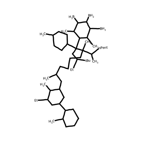 BC1C(B)C(C)C(C(CC(CC)C(C)(C)C)(C2CCC(C)CC2)C(C)(CCCCC(C)CC2CC(C3CCCCC3C)CC(CC)C2C)C(C)CCCCC)C(C)C1B